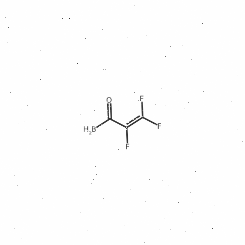 BC(=O)C(F)=C(F)F